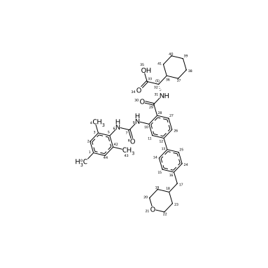 Cc1cc(C)c(NC(=O)Nc2cc(-c3ccc(CC4CCOCC4)cc3)ccc2C(=O)N[C@H](C(=O)O)C2CCCCC2)c(C)c1